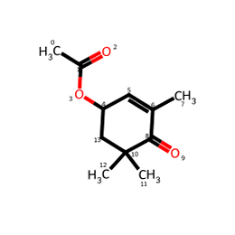 CC(=O)OC1C=C(C)C(=O)C(C)(C)C1